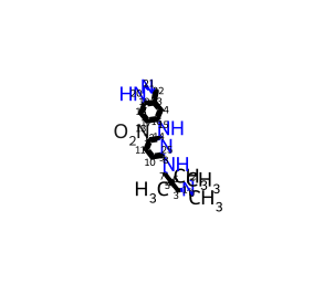 CN(C)CC(C)(C)CNc1ccc([N+](=O)[O-])c(Nc2ccc3[nH]ncc3c2)n1